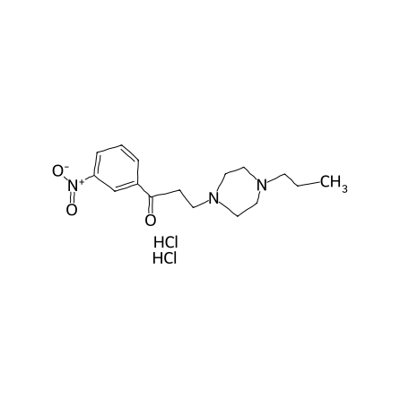 CCCN1CCN(CCC(=O)c2cccc([N+](=O)[O-])c2)CC1.Cl.Cl